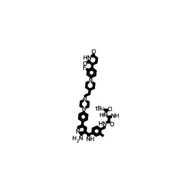 Cc1cc(C(=N)c2cc(-c3ccc(N4CCN(CCC5CCN(c6ccc(C7CCC(=O)NC7=O)c(F)c6)CC5)CC4)cc3)cnc2N)ccc1CNC(=O)C(=N)NC(=O)C(C)(C)C